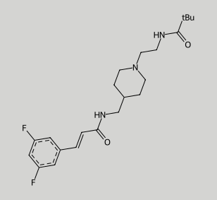 CC(C)(C)C(=O)NCCN1CCC(CNC(=O)C=Cc2cc(F)cc(F)c2)CC1